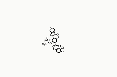 C[C@H](Oc1cc(-n2nc3n(c2=O)CCOC3)c(F)cc1C(=O)Nc1c(F)ccc(F)c1Cl)C(F)(F)F